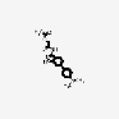 CC(=O)OCC(=O)Nc1n[nH]c2cc(-c3ccc(N(C)C)cc3)ccc12